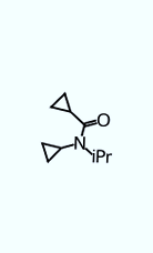 CC(C)N(C(=O)C1CC1)C1CC1